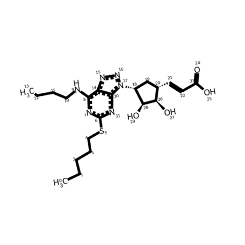 CCCCCSc1nc(NCCCC)c2nnn([C@@H]3C[C@H](/C=C/C(=O)O)[C@@H](O)[C@H]3O)c2n1